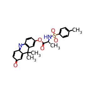 Cc1ccc(S(=O)(=O)N[C@@H](C)C(=O)Oc2ccc3c(c2)C(C)(C)C2=CC(=O)C=CC2=N3)cc1